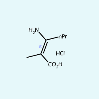 CCC/C(N)=C(/C)C(=O)O.Cl